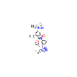 Cn1cnnc1[C@H](C[C@H]1CCOC1)c1cccc(N2Cc3c(cc(CNC4(C)CCC4)cc3C(F)(F)F)C2=O)c1